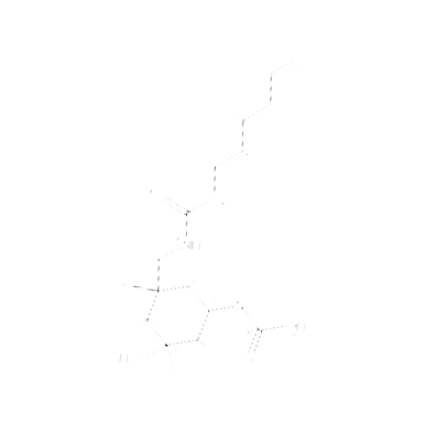 CCCCCCOC(=O)NCC1(C)CC(NC(=O)O)CC(C)(C)C1